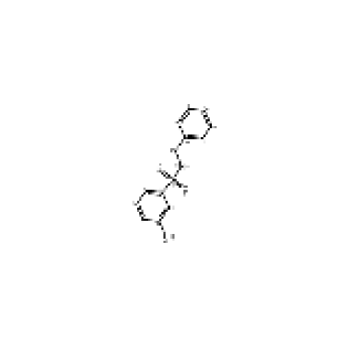 N#Cc1cccc(S(=O)(=O)NCc2ccccc2)c1